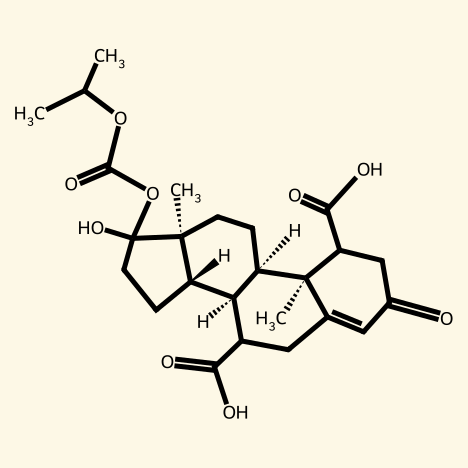 CC(C)OC(=O)OC1(O)CC[C@H]2[C@@H]3C(C(=O)O)CC4=CC(=O)CC(C(=O)O)[C@]4(C)[C@@H]3CC[C@@]21C